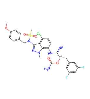 COc1ccc(CN(c2nn(C)c3c(NC(=N)[C@H](Cc4cc(F)cc(F)c4)OC(N)=O)ccc(Cl)c23)S(C)(=O)=O)cc1